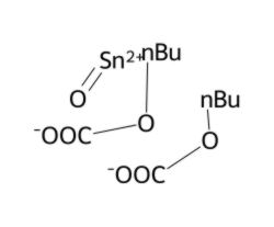 CCCCOC(=O)[O-].CCCCOC(=O)[O-].[O]=[Sn+2]